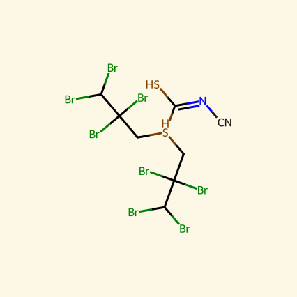 N#CN=C(S)[SH](CC(Br)(Br)C(Br)Br)CC(Br)(Br)C(Br)Br